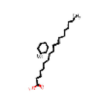 C1CCCCC1.CCCCCCCCCCCCCCCCCC(=O)O.[Mn]